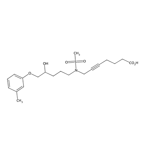 Cc1cccc(OCC(O)CCCN(CC#CCCCC(=O)O)S(C)(=O)=O)c1